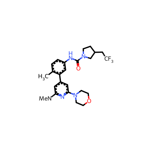 CNc1cc(-c2cc(NC(=O)N3CCC(CC(F)(F)F)C3)ccc2C)cc(N2CCOCC2)n1